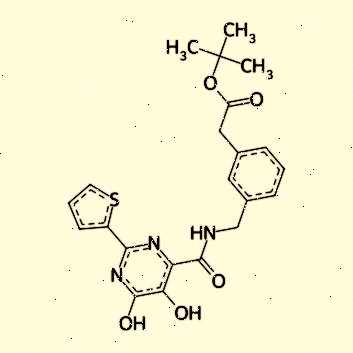 CC(C)(C)OC(=O)Cc1cccc(CNC(=O)c2nc(-c3cccs3)nc(O)c2O)c1